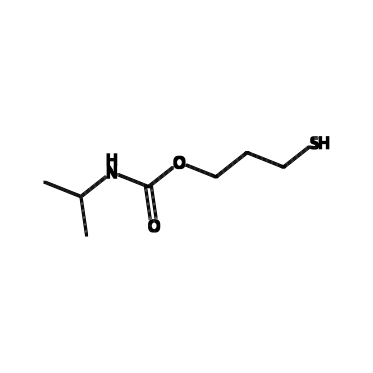 CC(C)NC(=O)OCCCS